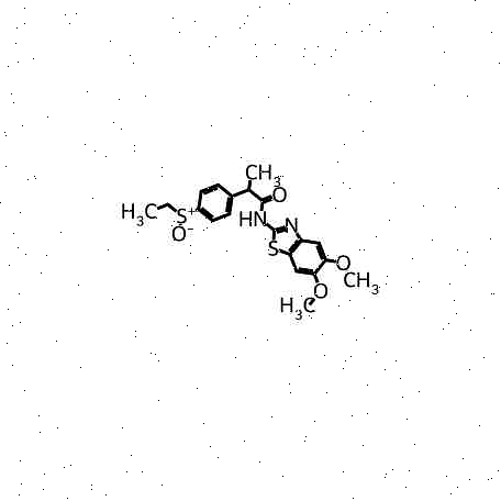 CC[S+]([O-])c1ccc(C(C)C(=O)Nc2nc3cc(OC)c(OC)cc3s2)cc1